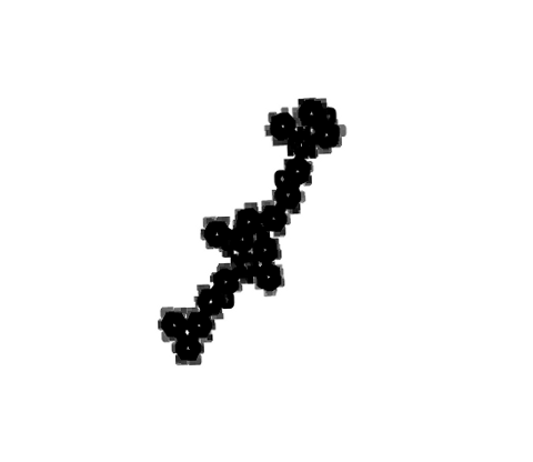 c1ccc(-c2nc(-c3ccc4c(c3)oc3cc(-c5ccc6c(c5)c5ccccc5n6-c5ccc(-c6ccccc6-c6nc(-c7ccc8c(c7)oc7cc(-c9ccc%10c%11ccccc%11c%11ccccc%11c%10c9)ccc78)nc(-c7cccc8c7sc7ccccc78)n6)cc5)ccc34)nc(-c3cccc4oc5ccccc5c34)n2)cc1